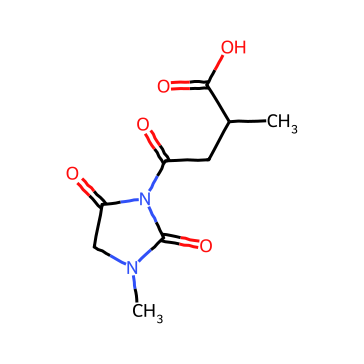 CC(CC(=O)N1C(=O)CN(C)C1=O)C(=O)O